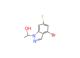 CC(O)n1ncc2c(Br)cc(F)cc21